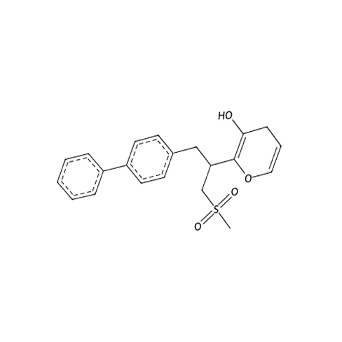 CS(=O)(=O)CC(Cc1ccc(-c2ccccc2)cc1)C1=C(O)CC=CO1